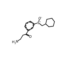 NCCC(=O)c1cccc([S+]([O-])CC2CCCCC2)c1